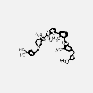 Cc1c(-c2cccc(N(Cl)C(=O)c3nc4c(n3C)CCN(Cc3ccc(B(O)O)cc3)C4)c2)cccc1-c1nc2cc(CN3CCC(O)C3)cc(C#N)c2o1